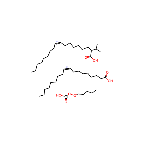 CCCCCCCC/C=C\CCCCCCC(C(=O)O)C(C)C.CCCCCCCC/C=C\CCCCCCCC(=O)O.CCCCCO[O][Ti](=[O])[OH]